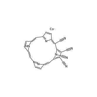 N#Cc1c(C#N)c2c(C#N)c3nc(cc4ccc(cc5nc(cc1n2C#N)C=C5)[nH]4)C=C3.[Co]